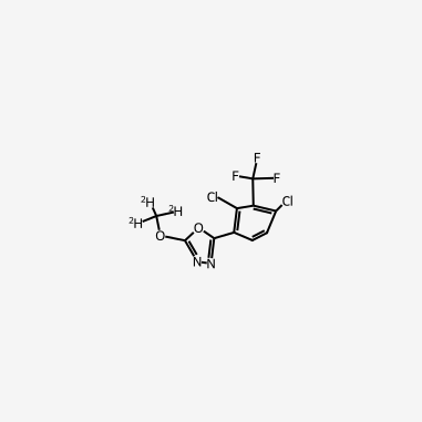 [2H]C([2H])([2H])Oc1nnc(-c2ccc(Cl)c(C(F)(F)F)c2Cl)o1